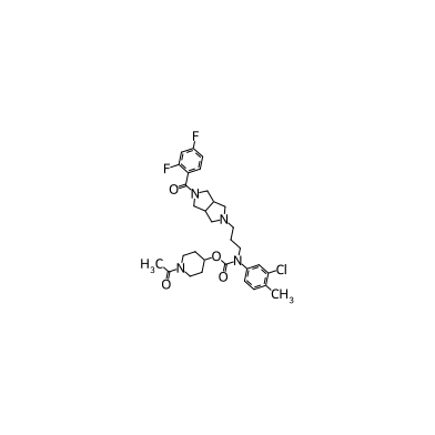 CC(=O)N1CCC(OC(=O)N(CCCN2CC3CN(C(=O)c4ccc(F)cc4F)CC3C2)c2ccc(C)c(Cl)c2)CC1